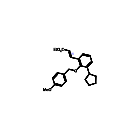 CCOC(=O)/C=C/c1cccc(C2CCCC2)c1OCc1ccc(OC)cc1